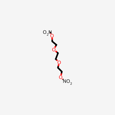 O=[N+]([O-])OCCOCCOCCO[N+](=O)[O-]